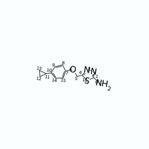 Nc1nnc(COc2ccc(C3CC3)cc2)s1